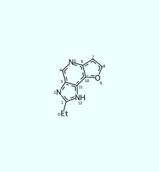 CCc1nc2cnc3ccoc3c2[nH]1